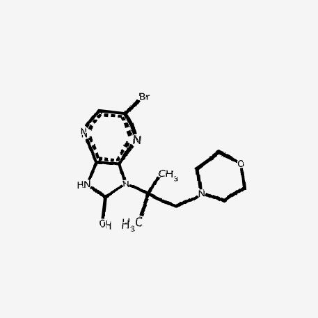 CC(C)(CN1CCOCC1)N1c2nc(Br)cnc2NC1O